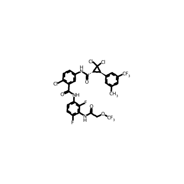 Cc1cc([C@H]2[C@H](C(=O)Nc3ccc(Cl)c(C(=O)Nc4ccc(F)c(NC(=O)COC(F)(F)F)c4F)c3)C2(Cl)Cl)cc(C(F)(F)F)c1